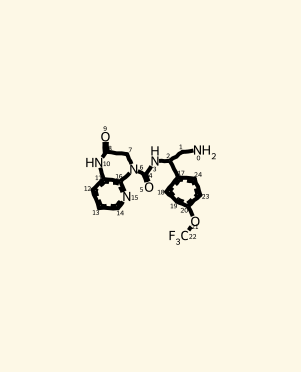 NCC(NC(=O)N1CC(=O)Nc2cccnc21)c1ccc(OC(F)(F)F)cc1